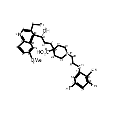 COc1ccc2ncc(CF)c([C@H](O)CCC3(C(=O)O)CCN(CCSc4cc(F)cc(F)c4F)CC3)c2c1